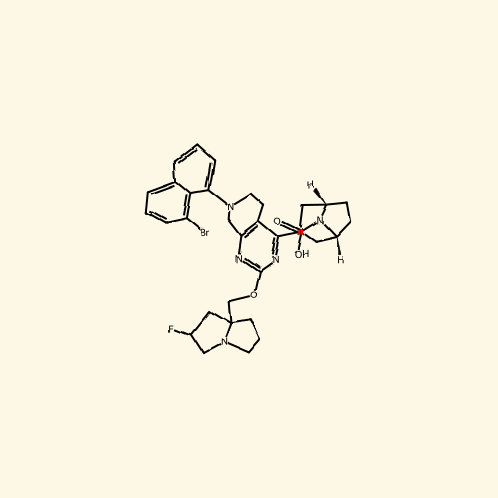 O=C(O)N1[C@@H]2CC[C@H]1CN(c1nc(OCC34CCCN3CC(F)C4)nc3c1CCN(c1cccc4cccc(Br)c14)C3)C2